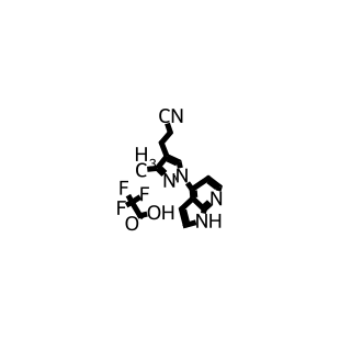 Cc1nn(-c2ccnc3[nH]ccc23)cc1CCC#N.O=C(O)C(F)(F)F